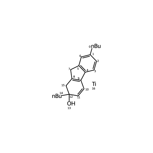 CCCCc1ccc2c(c1)CC1=C2C=CC(O)(CCCC)C1.[Ti]